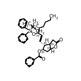 CCCCC(C)[C@@H](C=C[C@@H]1[C@H]2CC(=O)O[C@H]2C[C@H]1OC(=O)c1ccccc1)O[Si](c1ccccc1)(c1ccccc1)C(C)(C)C